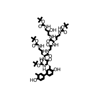 Cc1cc(-c2ccc(O)c(C[C@H](NC(=O)OC(C)(C)C)C(=O)N[C@@H](CCCNC(=O)OC(C)(C)C)C(=O)NCC(=O)N[C@@H](CCCNC(=O)OC(C)(C)C)C(=O)NCC(O)CNC(=O)OC(C)(C)C)c2)ccc1O